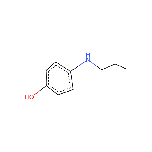 CCCNc1ccc(O)cc1